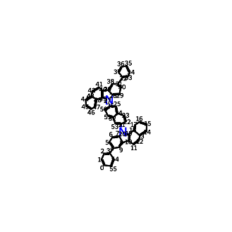 c1ccc(-c2ccc3c(c2)c2ccc4ccccc4c2n3-c2ccc3cc(-n4c5ccc(-c6ccccc6)cc5c5ccc6ccccc6c54)ccc3c2)cc1